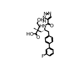 C[C@@](CCO)(C[C@@H](Cc1ccc(-c2cccc(F)c2)cc1)NC(=O)c1cnn[nH]1)C(=O)O